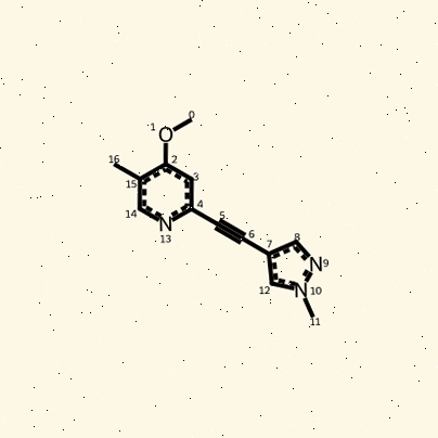 COc1cc(C#Cc2cnn(C)c2)ncc1C